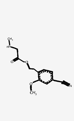 CNCC(=O)OCc1ccc(C#N)cc1OC